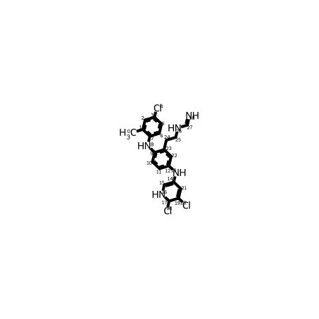 Cc1cc(Cl)ccc1Nc1ccc(NC2=CNC(Cl)C(Cl)=C2)cc1CCNC=N